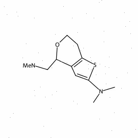 CNCC1OCCc2sc(N(C)C)cc21